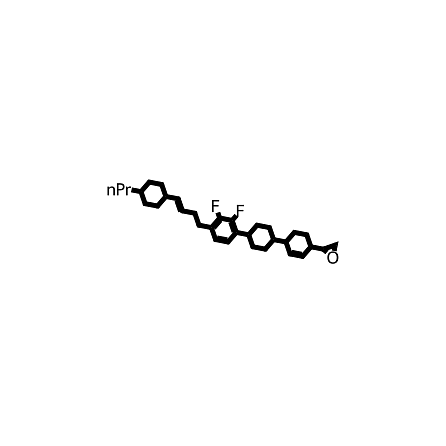 CCCC1CCC(/C=C/CCc2ccc(C3CCC(C4C=CC(C5CO5)CC4)CC3)c(F)c2F)CC1